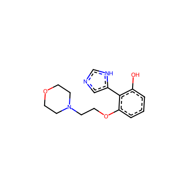 Oc1cccc(OCCN2CCOCC2)c1-c1cnc[nH]1